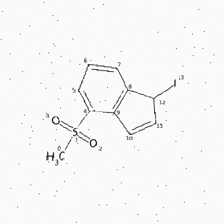 CS(=O)(=O)c1cccc2c1C=CC2I